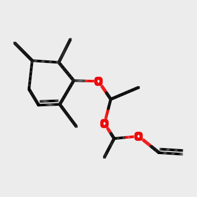 C=COC(C)OC(C)OC1C(C)=CCC(C)C1C